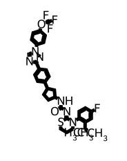 CC(C)c1cc(F)ccc1N1/C(=N/C(=O)NC2CCC(c3ccc(-c4ncn(-c5ccc(OC(F)(F)F)cc5)n4)cc3)C2)SCCC1C